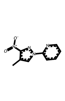 Cc1cn(-c2ccccn2)nc1[N+](=O)[O-]